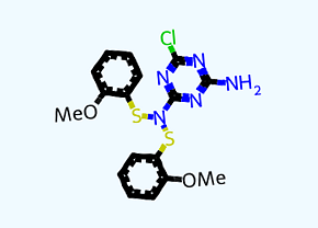 COc1ccccc1SN(Sc1ccccc1OC)c1nc(N)nc(Cl)n1